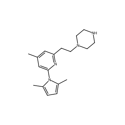 Cc1cc(CCN2CCNCC2)nc(-n2c(C)ccc2C)c1